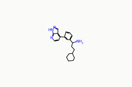 NC(CCC1CCCCC1)c1cccc(-c2ccnc3[nH]ncc23)c1